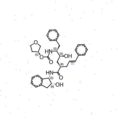 O=C(N[C@@H](Cc1ccccc1)[C@@H](O)C[C@@H](C/C=C/c1ccccc1)C(=O)N[C@H]1c2ccccc2C[C@H]1O)O[C@H]1CCOC1